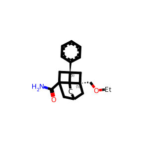 CCOC[C@@]12CC3CC4(C(N)=O)C[C@](c5ccccc5)(C1)C42C3